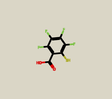 O=C(O)c1c(F)c(F)c(F)c(F)c1S